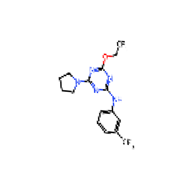 FC(F)(F)COc1nc(Nc2cccc(C(F)(F)F)c2)nc(N2CCCC2)n1